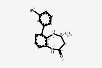 CC(C)c1cccc(-c2cccc3c2N[C@H](C)CC(=O)N3)c1